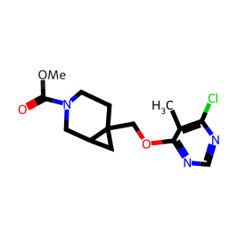 COC(=O)N1CCC2(COc3ncnc(Cl)c3C)CC2C1